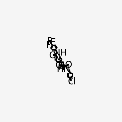 O=C(NCc1ccc(Cl)cc1)C1=NOC2(CCN(C(=O)Nc3ccc(C(F)(F)F)cc3)CC2)C1